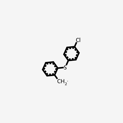 [CH2]c1ccccc1Sc1ccc(Cl)cc1